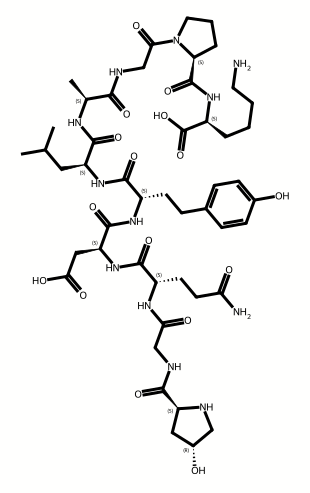 CC(C)C[C@H](NC(=O)[C@H](CCc1ccc(O)cc1)NC(=O)[C@H](CC(=O)O)NC(=O)[C@H](CCC(N)=O)NC(=O)CNC(=O)[C@@H]1C[C@@H](O)CN1)C(=O)N[C@@H](C)C(=O)NCC(=O)N1CCC[C@H]1C(=O)N[C@@H](CCCCN)C(=O)O